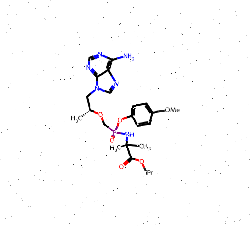 COc1ccc(OP(=O)(CO[C@H](C)Cn2cnc3c(N)ncnc32)NC(C)(C)C(=O)OC(C)C)cc1